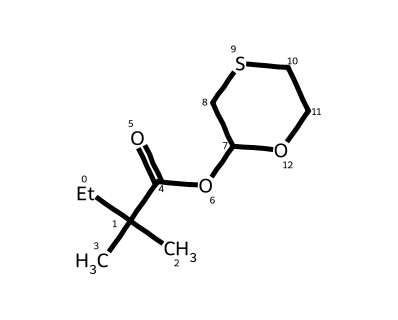 CCC(C)(C)C(=O)OC1CSCCO1